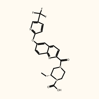 CC[C@@H]1CN(C(=O)c2ccc3cc(Oc4ccc(C(F)(F)F)cn4)ccc3n2)CCN1C(=O)O